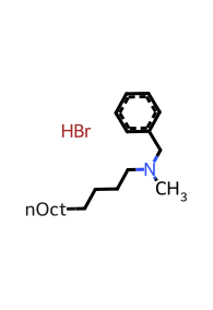 Br.CCCCCCCCCCCCN(C)Cc1ccccc1